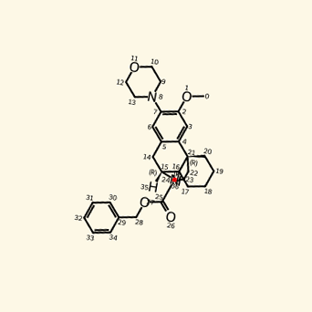 COc1cc2c(cc1N1CCOCC1)C[C@@H]1[C@@H]3CCCC[C@]23CCN1C(=O)OCc1ccccc1